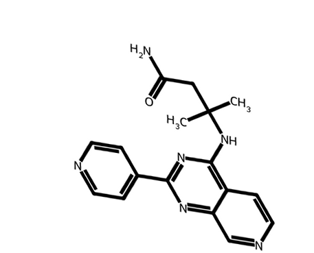 CC(C)(CC(N)=O)Nc1nc(-c2ccncc2)nc2cnccc12